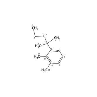 CCOC(C)(C)c1cccc(C)c1C